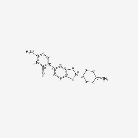 Nc1ccn(-c2ccc3c(c2)CN([C@H]2CC[C@H](N)CC2)C3)c(=O)n1